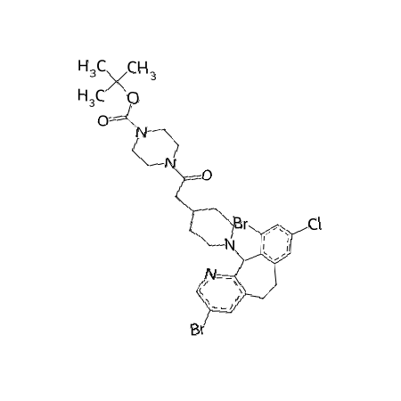 CC(C)(C)OC(=O)N1CCN(C(=O)CC2CCN(C3c4ncc(Br)cc4CCc4cc(Cl)cc(Br)c43)CC2)CC1